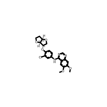 COc1cc2ncnc(Nc3ccc(O[C@H]4CO[C@@H]5CCO[C@H]45)c(Cl)c3)c2cc1OC